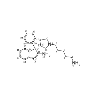 NCCCCCN1CC[C@@H](C(C(N)=O)(c2ccccc2)c2ccccc2)C1